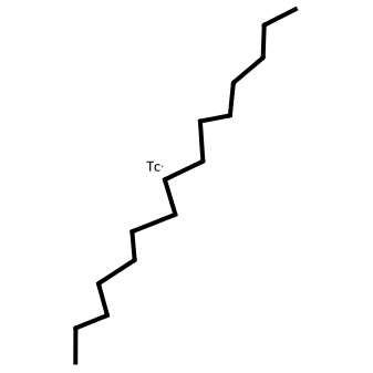 CCCCCCCCCCCCCCC.[Tc]